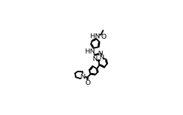 CC(=O)Nc1ccc(Nc2nc3c(-c4ccc(C(=O)N5CCCCC5)cc4)cccn3n2)cc1